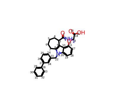 NC(=O)C1CCCCc2c1c1c(OCC(=O)O)cccc1n2Cc1cccc(-c2ccccc2)c1